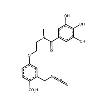 CN(CCOc1ccc(C(=O)O)c(CN=[N+]=[N-])c1)C(=O)c1cc(O)c(O)c(O)c1